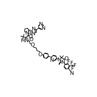 C=C1N(c2ccc(C#N)c(C(F)(F)F)c2F)C(=O)C(C)(C)N1c1ccc(-c2ccc(OCCCCOCC(=O)N[C@H](C(=O)N3CCC[C@H]3c3nc(-c4cncnc4)c[nH]3)C(C)(C)C)cc2)nc1